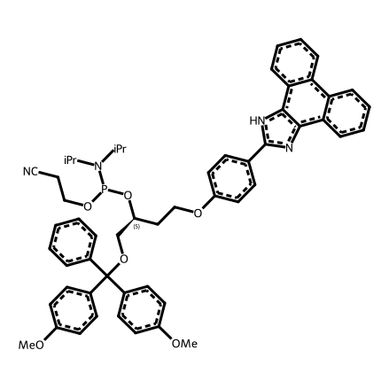 COc1ccc(C(OC[C@H](CCOc2ccc(-c3nc4c5ccccc5c5ccccc5c4[nH]3)cc2)OP(OCCC#N)N(C(C)C)C(C)C)(c2ccccc2)c2ccc(OC)cc2)cc1